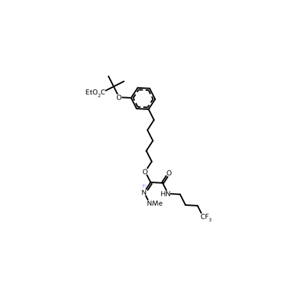 CCOC(=O)C(C)(C)Oc1cccc(CCCCCO/C(=N/NC)C(=O)NCCCC(F)(F)F)c1